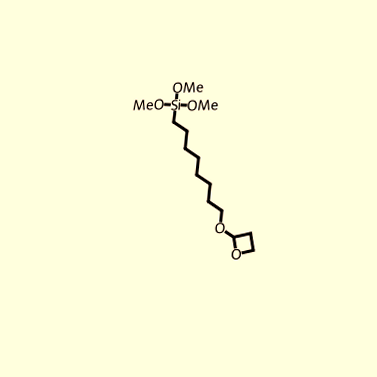 CO[Si](CCCCCCCCOC1CCO1)(OC)OC